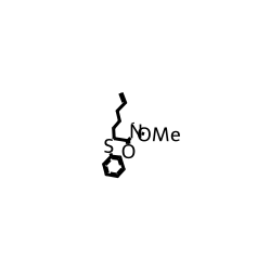 C=CCCCC(Sc1ccccc1)C(=O)N(C)OC